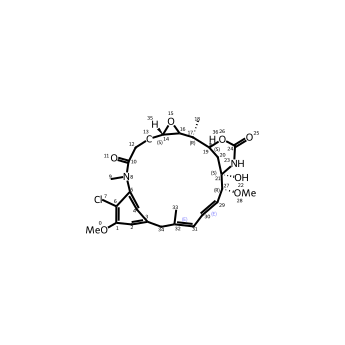 COc1cc2cc(c1Cl)N(C)C(=O)CC[C@@H]1OC1[C@H](C)[C@@H]1C[C@@](O)(NC(=O)O1)[C@H](OC)/C=C/C=C(\C)C2